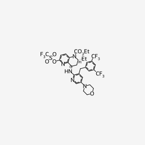 CCOC(=O)N1c2ccc(OS(=O)(=O)C(F)(F)F)nc2[C@@H](Nc2ncc(N3CCOCC3)cc2Cc2cc(C(F)(F)F)cc(C(F)(F)F)c2)C[C@H]1CC